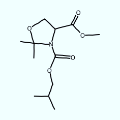 COC(=O)C1COC(C)(C)N1C(=O)OCC(C)C